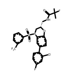 CC(C)(F)C(=O)NC[C@H]1CN(S(=O)(=O)c2cccc(C(F)(F)F)c2)c2cc(-c3ccc(F)cc3Cl)ccc2O1